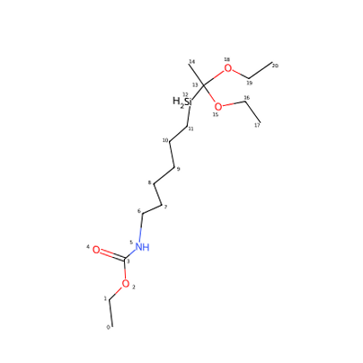 CCOC(=O)NCCCCCC[SiH2]C(C)(OCC)OCC